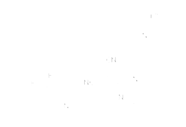 CC(C)N1CCC(N2CCN(CCCN3CCC(F)(F)C3)C2=C(C#N)C#N)CC1